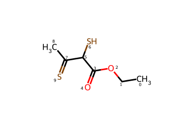 CCOC(=O)C(S)C(C)=S